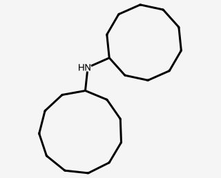 C1CCCCCC(NC2CCCCCCCCC2)CCCC1